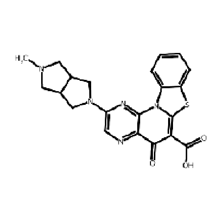 CN1CC2CN(c3cnc4c(=O)c(C(=O)O)c5sc6ccccc6n5c4n3)CC2C1